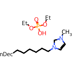 CCCCCCCCCCCCCCCCN1C=CN(C)C1.CCOP(=O)(O)OCC